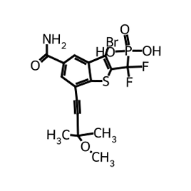 COC(C)(C)C#Cc1cc(C(N)=O)cc2c(Br)c(C(F)(F)P(=O)(O)O)sc12